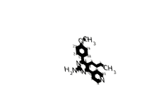 CCCCc1c(-c2ccncc2)nc(N)nc1-c1ccc(OC)cc1